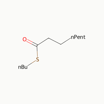 CCCCCCCC(=O)SCCCC